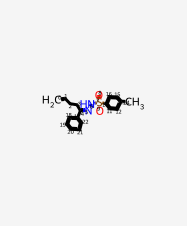 C=CCC/C(=N\NS(=O)(=O)c1ccc(C)cc1)c1ccccc1